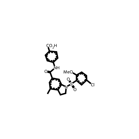 COc1ccc(Cl)cc1S(=O)(=O)N1CCc2c(C)cc(C(=O)Nc3ccc(C(=O)O)cc3)cc21